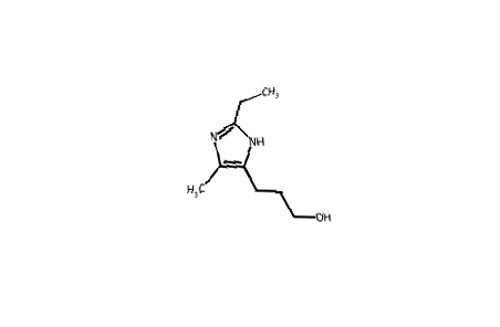 CCc1nc(C)c(CCCO)[nH]1